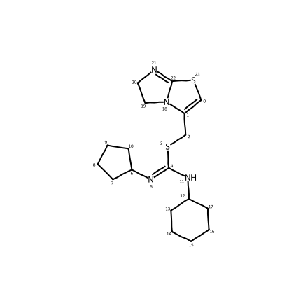 C1=C(CS/C(=N\C2CCCC2)NC2CCCCC2)N2CCN=C2S1